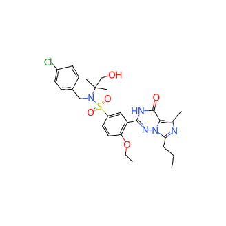 CCCc1nc(C)c2c(=O)[nH]c(-c3cc(S(=O)(=O)N(Cc4ccc(Cl)cc4)C(C)(C)CO)ccc3OCC)nn12